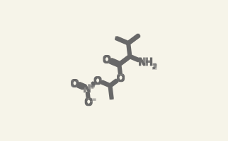 CC(OC(=O)C(N)C(C)C)O[N+](=O)[O-]